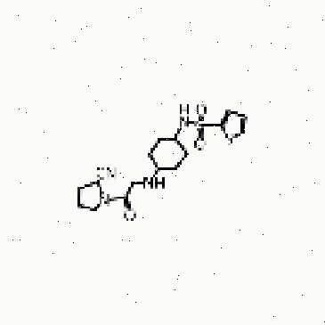 N#C[C@@H]1CCCN1C(=O)CNC1CCC(NS(=O)(=O)c2cccs2)CC1